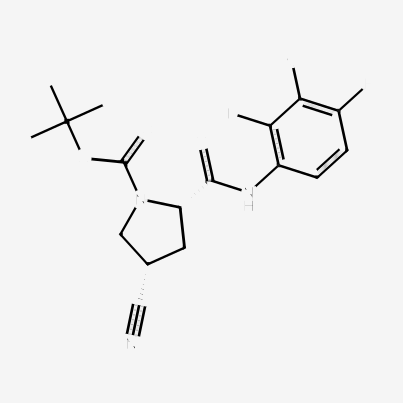 CC(C)(C)OC(=O)N1C[C@@H](C#N)C[C@H]1C(=O)Nc1ccc(F)c(Cl)c1F